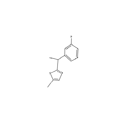 Cc1ccc(C(C)c2cccc(F)c2)s1